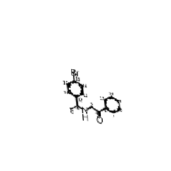 C[C@H](NCC(=O)c1ccccc1)c1ccc(Br)cc1